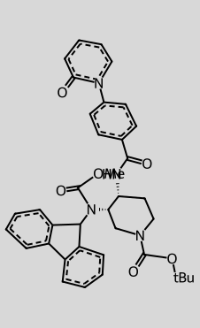 COC(=O)N(C1c2ccccc2-c2ccccc21)[C@H]1CN(C(=O)OC(C)(C)C)CC[C@H]1NC(=O)c1ccc(-n2ccccc2=O)cc1